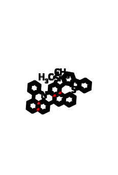 C[Si]1(C)c2cc(N(c3ccccc3-c3ccccc3)c3ccccc3-c3ccc4ccccc4c3)ccc2-c2c1ccc1c2sc2ccccc21